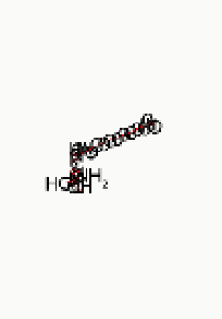 CCOCc1nc2c(N)nc3cc(CCCN4CCN(C(=O)CCCNC(=O)CCOCCOCCOCCOCCOCCOCCOCCOCCN5C(=O)C=CC5=O)CC4)ccc3c2n1CC(C)(CO)CO